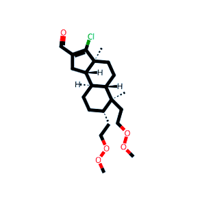 COOCC[C@@H]1CC[C@@H]2[C@H](CC[C@]3(C)C(Cl)=C(C=O)C[C@@H]23)[C@@]1(C)CCOOC